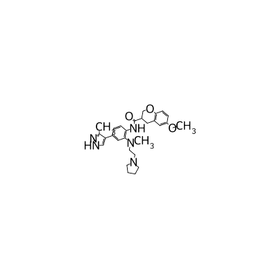 COc1ccc2c(c1)CC(C(=O)Nc1ccc(-c3c[nH]nc3C)cc1N(C)CCN1CCCC1)CO2